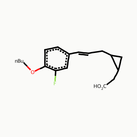 CCCCOc1ccc(C=CCC2CC2CC(=O)O)cc1F